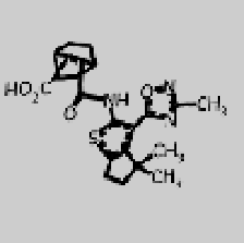 Cc1noc(-c2c(NC(=O)C3=C(C(=O)O)C4CCC3CC4)sc3c2C(C)(C)CC3)n1